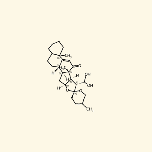 CC1CC[C@@]2(OC1)O[C@H]1C[C@H]3[C@@H]4CCC5CCCC[C@]5(C)C4=CC(=O)[C@]3(C)[C@H]1[C@@H]2C(O)O